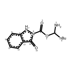 CCCCC(N)OC(=O)n1[nH]c2ccccc2c1=O